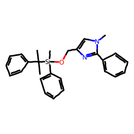 Cn1cc(CO[Si](C)(c2ccccc2)C(C)(C)c2ccccc2)nc1-c1ccccc1